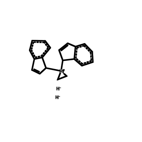 C1=C[CH]([Hf]2([CH]3C=Cc4ccccc43)[CH2][CH2]2)c2ccccc21.[H-].[H-]